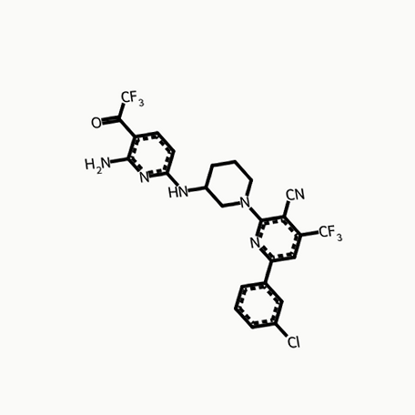 N#Cc1c(C(F)(F)F)cc(-c2cccc(Cl)c2)nc1N1CCCC(Nc2ccc(C(=O)C(F)(F)F)c(N)n2)C1